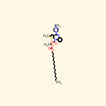 CCCCCCCCCCCCCCCCOC(=O)OC(C)OC(=O)N1c2ccccc2N=C(N2CCN(C)CC2)c2cc(C)sc21